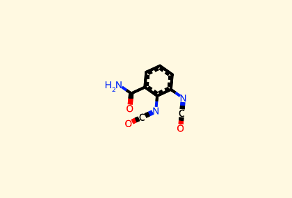 NC(=O)c1cccc(N=C=O)c1N=C=O